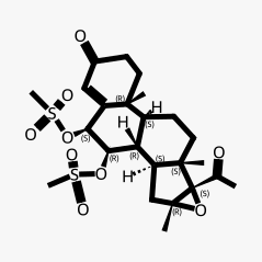 CC(=O)[C@@]12O[C@]1(C)C[C@H]1[C@@H]3[C@@H](OS(C)(=O)=O)[C@@H](OS(C)(=O)=O)C4=CC(=O)CC[C@]4(C)[C@H]3CC[C@@]12C